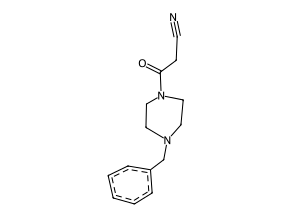 N#CCC(=O)N1CCN(Cc2ccccc2)CC1